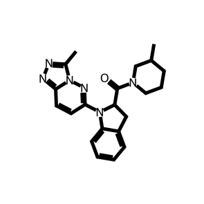 Cc1nnc2ccc(N3c4ccccc4CC3C(=O)N3CCCC(C)C3)nn12